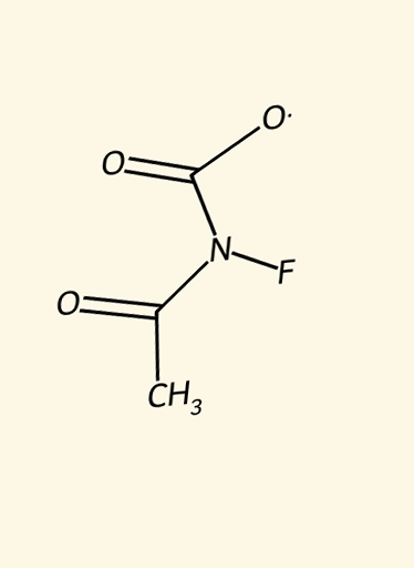 CC(=O)N(F)C([O])=O